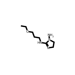 CCOCCCNC1=NCCN1N